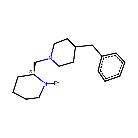 CCN1CCCC[C@H]1CN1CCC(Cc2ccccc2)CC1